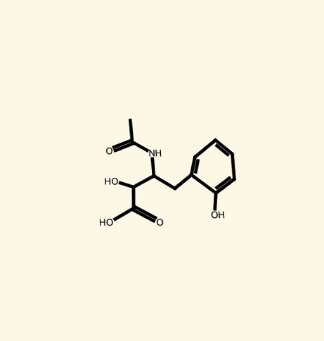 CC(=O)NC(Cc1ccccc1O)C(O)C(=O)O